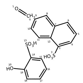 C=O.O=S(=O)(O)c1cccc2ccccc12.O=S(=O)(O)c1ccccc1O